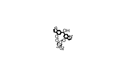 Cn1ccc2c(OCOCC[Si](C)(C)C)cc(C(O)c3cc(OCOCC[Si](C)(C)C)c4ccn(C)c4c3)cc21